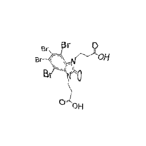 O=C(O)CCn1c(=O)n(CCC(=O)O)c2c(Br)c(Br)c(Br)c(Br)c21